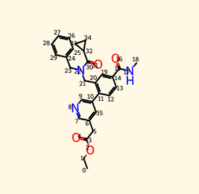 CCOC(=O)Cc1cncc(-c2ccc(C(=O)NC)cc2CN(Cc2ccccc2)C(=O)C2CC2)c1